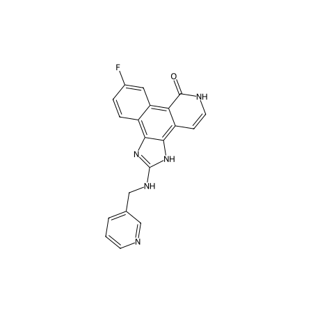 O=c1[nH]ccc2c3[nH]c(NCc4cccnc4)nc3c3ccc(F)cc3c12